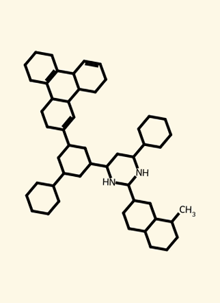 CC1CCCC2CCC(C3NC(C4CCCCC4)CC(C4CC(C5=CC6C(CC5)C5=C(CCCC5)C5C=CCCC56)CC(C5CCCCC5)C4)N3)CC12